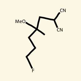 COC(C)(CCCF)CC(C#N)C#N